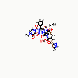 CCN1CCN(C(=O)NC(C(=O)N[C@]2(NO)C(=O)N3C(C(=O)O)=C(CSc4nncs4)CS[C@@H]32)c2ccccc2)C(=O)C1=O.[NaH]